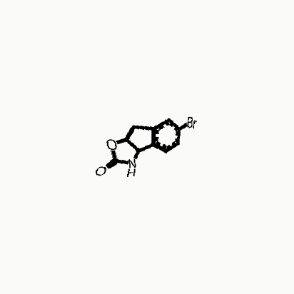 O=C1NC2c3ccc(Br)cc3CC2O1